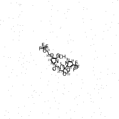 COc1nc(C(=O)N2CC[C@]3(c4cc(C(F)(F)F)ccn4)OCOC3C2)ccc1OCCOC(F)(F)F